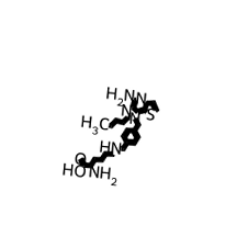 CCCCc1nc2c(N)nc3ccsc3c2n1Cc1ccc(CNCCCC[C@H](N)C(=O)O)cc1